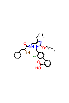 CCOc1nc(CC)c(CNC(=O)C(S)CC2CCCCC2)n1Cc1ccc(-c2ccccc2C(=O)O)cc1F